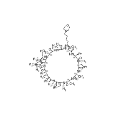 CC[C@@H]1NC(=O)[C@H]([C@H](O[Si](C)(C)C)[C@H](C)CCO)N(C)C(=O)[C@H](C(C)C)N(C)C(=O)[C@H](CC(C)C)N(C)C(=O)[C@H](CC(C)C)N(C)C(=O)[C@@H](C)NC(=O)[C@H](C)NC(=O)[C@H](CC(C)C)N(C)C(=O)[C@H](C(C)C)NC(=O)[C@H]([C@@H](C)OCCCCN2CCOCC2)N(C)C(=O)[C@@H](C)N(C)C1=O